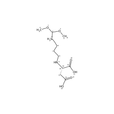 COC(OC)[SiH2]CCCN[C@@H](CC(=O)O)C(=O)O